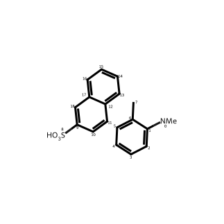 CNc1ccccc1C.O=S(=O)(O)c1ccc2ccccc2c1